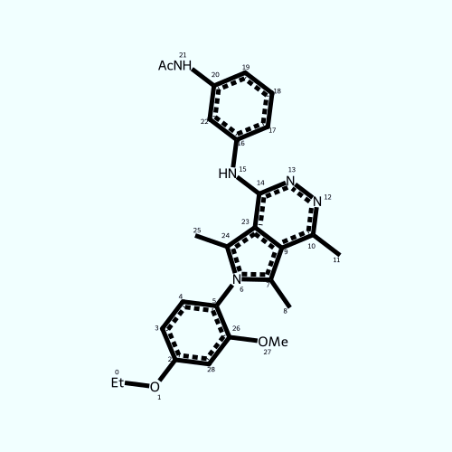 CCOc1ccc(-n2c(C)c3c(C)nnc(Nc4cccc(NC(C)=O)c4)c3c2C)c(OC)c1